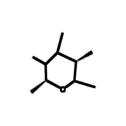 CC1O[C@H](C)C(C)C(C)[C@@H]1C